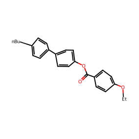 CCCCc1ccc(-c2ccc(OC(=O)c3ccc(OCC)cc3)cc2)cc1